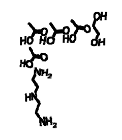 CC(=O)O.CC(=O)O.CC(=O)O.CC(=O)O.NCCNCCN.OCCO